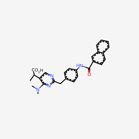 CC(C(=O)O)c1cnc(Cc2ccc(NC(=O)c3ccc4ccccc4c3)cc2)nc1N(C)C